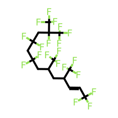 FC(F)(F)C=CC(CC(CC(F)(F)CC(F)(F)CC(F)(C(F)(F)F)C(F)(F)F)C(F)(F)F)C(F)(F)F